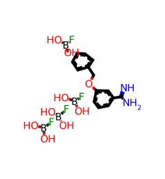 N=C(N)c1cccc(OCc2ccccc2)c1.OB(O)F.OB(O)F.OB(O)F.OB(O)F